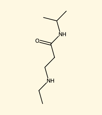 CCNCCC(=O)NC(C)C